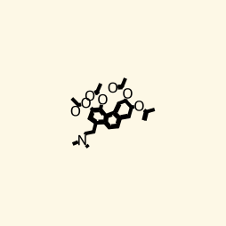 C=C(C)OC1C=c2ccc3c(CCN(C)C)cc(OC(C)=O)c(OC(C)=O)c3c2=CC1OC(C)=O